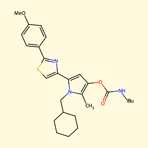 CCC(C)NC(=O)Oc1cc(-c2csc(-c3ccc(OC)cc3)n2)n(CC2CCCCC2)c1C